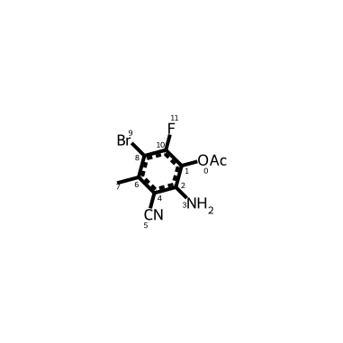 CC(=O)Oc1c(N)c(C#N)c(C)c(Br)c1F